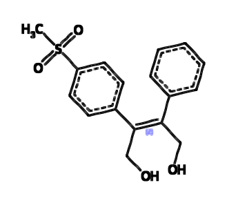 CS(=O)(=O)c1ccc(/C(CO)=C(/CO)c2ccccc2)cc1